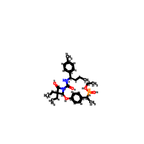 CCC[C@@H](NC(=O)N1C(=O)C(CC)(CC)[C@@H]1Oc1ccc(C(C)[PH](=O)OCC)cc1)c1ccc(C)cc1